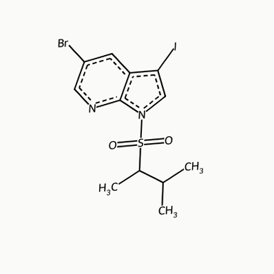 CC(C)C(C)S(=O)(=O)n1cc(I)c2cc(Br)cnc21